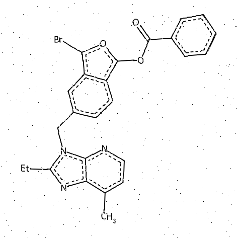 CCc1nc2c(C)ccnc2n1Cc1ccc2c(OC(=O)c3ccccc3)oc(Br)c2c1